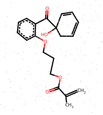 C=C(C)C(=O)OCCCOc1ccccc1C(=O)C1(O)C=CC=CC1